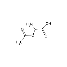 CC(=O)OC(N)C(=O)O